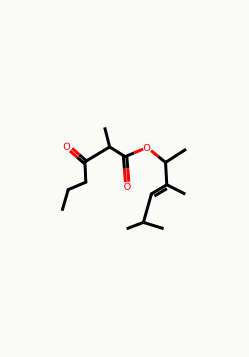 CCCC(=O)C(C)C(=O)OC(C)C(C)=CC(C)C